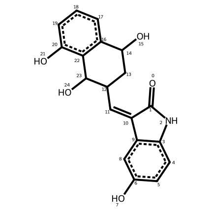 O=C1Nc2ccc(O)cc2C1=CC1CC(O)c2cccc(O)c2C1O